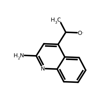 CC([O])c1cc(N)nc2ccccc12